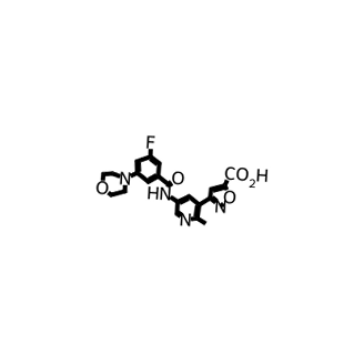 Cc1ncc(NC(=O)c2cc(F)cc(N3CCOCC3)c2)cc1-c1cc(C(=O)O)on1